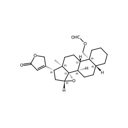 C[C@]12CC[C@H]3[C@@H](CC[C@H]4CCCC[C@@]43COC=O)[C@]13O[C@@H]3C[C@@H]2C1=CC(=O)OC1